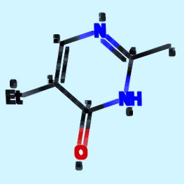 CCc1cnc(C)[nH]c1=O